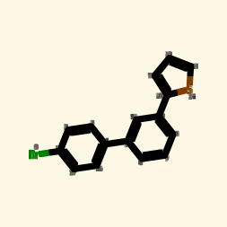 Brc1ccc(-c2cccc(-c3cccs3)c2)cc1